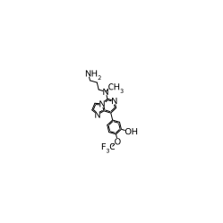 CN(CCCN)c1ncc(-c2ccc(OC(F)(F)F)c(O)c2)c2nccn12